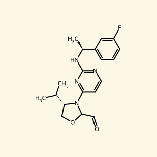 CC(C)[C@H]1COC(C=O)N1c1ccnc(N[C@@H](C)c2cccc(F)c2)n1